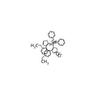 CCc1cccc(C2=[C]([Hf+2]([C]3=C(c4cccc(CC)c4)C=CC3)=[Ge]([c]3ccccc3)[c]3ccccc3)CC=C2)c1.[Cl-].[Cl-]